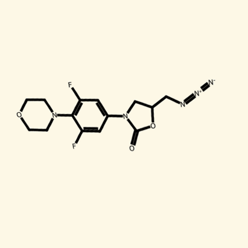 [N-]=[N+]=NCC1CN(c2cc(F)c(N3CCOCC3)c(F)c2)C(=O)O1